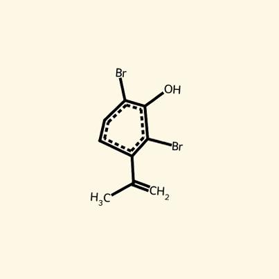 C=C(C)c1ccc(Br)c(O)c1Br